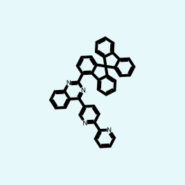 c1ccc(-c2ccc(-c3nc(-c4cccc5c4-c4ccccc4C54c5ccccc5-c5ccccc54)nc4ccccc34)cn2)nc1